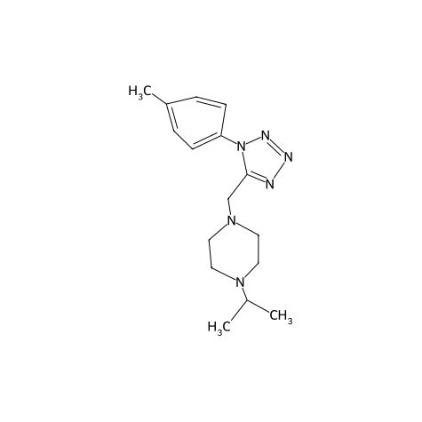 Cc1ccc(-n2nnnc2CN2CCN(C(C)C)CC2)cc1